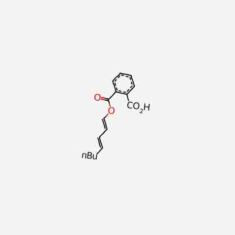 CCCCC=CC=COC(=O)c1ccccc1C(=O)O